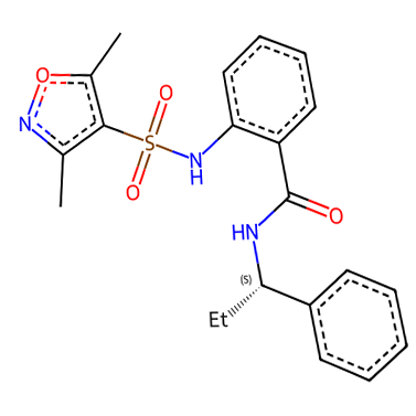 CC[C@H](NC(=O)c1ccccc1NS(=O)(=O)c1c(C)noc1C)c1ccccc1